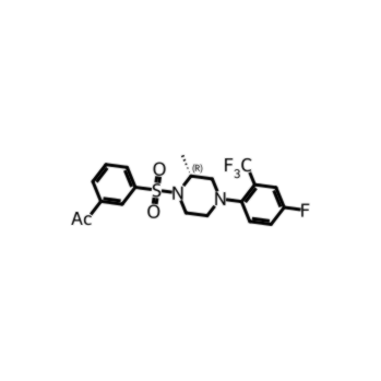 CC(=O)c1cccc(S(=O)(=O)N2CCN(c3ccc(F)cc3C(F)(F)F)C[C@H]2C)c1